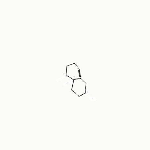 C[C@@H]1CCC=C2C[C@H](O)CC[C@]21C